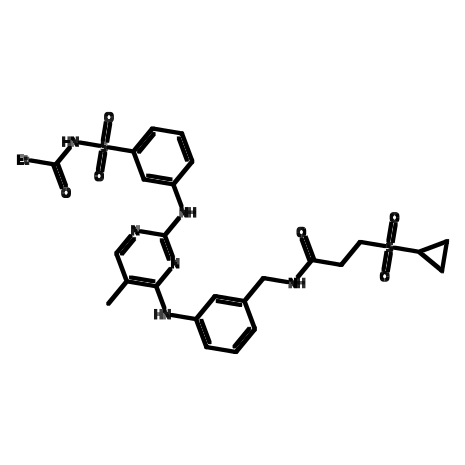 CCC(=O)NS(=O)(=O)c1cccc(Nc2ncc(C)c(Nc3cccc(CNC(=O)CCS(=O)(=O)C4CC4)c3)n2)c1